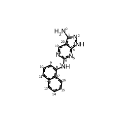 Nc1n[nH]c2nc(Nc3cccc4ccccc34)ncc12